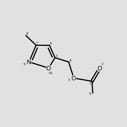 CC(=O)O[CH]c1cc(C)no1